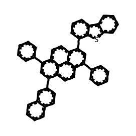 c1ccc(-c2cc(-c3ccc4ccccc4c3)c3ccc4c(-c5ccccc5)cc(-c5cccc6c5sc5ccccc56)c5ccc2c3c45)cc1